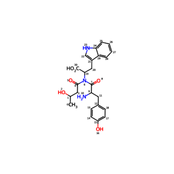 CC(O)CC(=O)N(C(=O)C(N)Cc1ccc(O)cc1)C(Cc1c[nH]c2ccccc12)C(=O)O